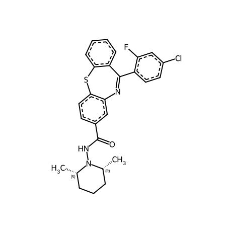 C[C@@H]1CCC[C@H](C)N1NC(=O)c1ccc2c(c1)N=C(c1ccc(Cl)cc1F)c1ccccc1S2